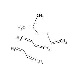 C=CC=C.C=CC=C.C=CCCC(C)C